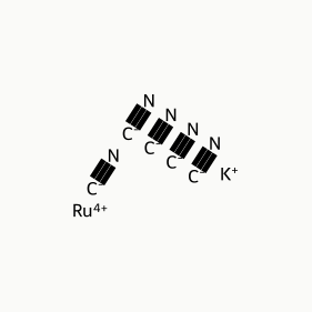 [C-]#N.[C-]#N.[C-]#N.[C-]#N.[C-]#N.[K+].[Ru+4]